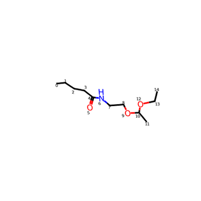 CCCCC(=O)NCCOC(C)OCC